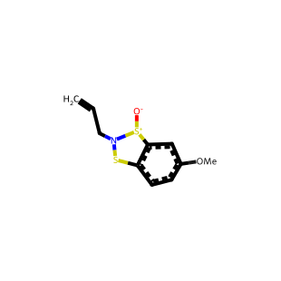 C=CCN1Sc2ccc(OC)cc2[S+]1[O-]